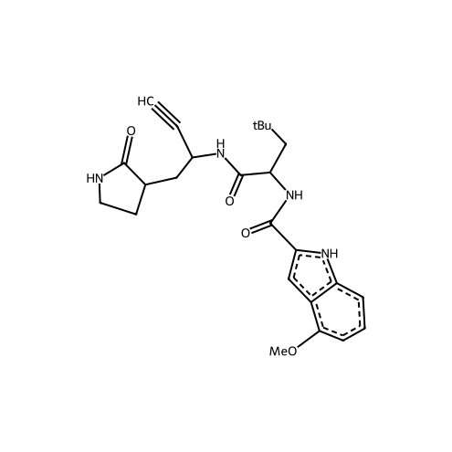 C#CC(CC1CCNC1=O)NC(=O)C(CC(C)(C)C)NC(=O)c1cc2c(OC)cccc2[nH]1